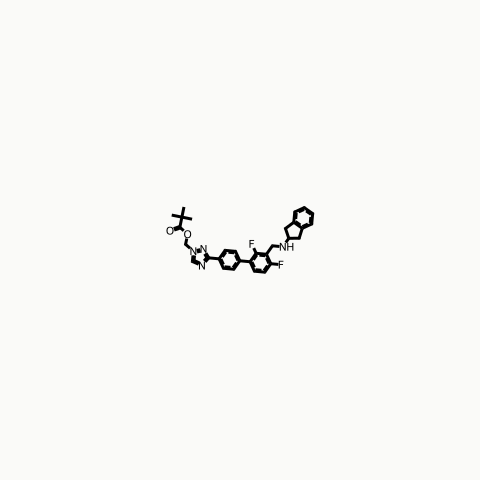 CC(C)(C)C(=O)OCn1cnc(-c2ccc(-c3ccc(F)c(CNC4Cc5ccccc5C4)c3F)cc2)n1